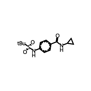 CC(C)(C)S(=O)(=O)Nc1ccc(C(=O)NC2CC2)cc1